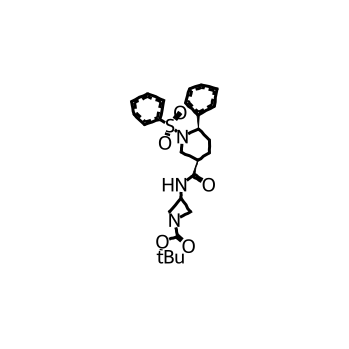 CC(C)(C)OC(=O)N1CC(NC(=O)[C@@H]2CC[C@H](c3ccccc3)N(S(=O)(=O)c3ccccc3)C2)C1